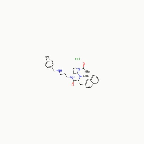 CC(C)(C)C(=O)N1CCCC1N(C=O)[C@H](Cc1ccc2ccccc2c1)C(=O)NCCCNCc1ccc([N+](=O)[O-])cc1.Cl